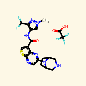 Cn1cc(NC(=O)c2csc3ncc(N4C5CCC4CNC5)nc23)c(C(F)F)n1.O=C(O)C(F)(F)F